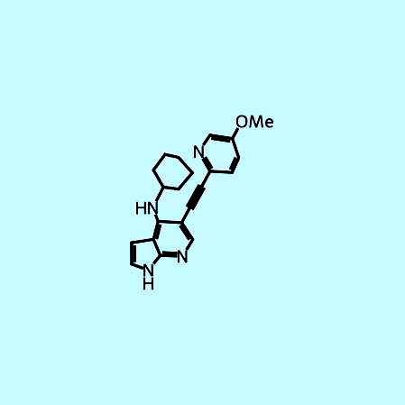 COc1ccc(C#Cc2cnc3[nH]ccc3c2NC2CCCCC2)nc1